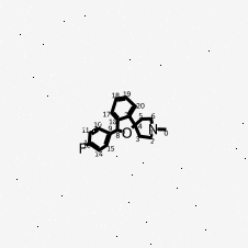 CN1CCC2(CC1)OC(c1ccc(F)cc1)c1ccccc12